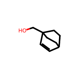 OCC12C=CC(CC1)CC2